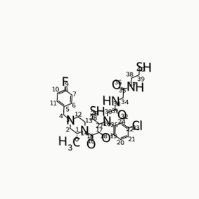 C[C@@H]1CN(Cc2ccc(F)cc2)CCN1C(=O)COc1ccc(Cl)cc1N(CCS)CC(=O)NCC(=O)NCCS